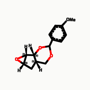 COc1ccc(C2OC[C@@H]3C[C@@H]4O[C@@H]4[C@@H]3O2)cc1